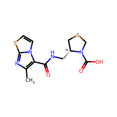 Cc1nc2sccn2c1C(=O)NC[C@@H]1CSCN1C(=O)O